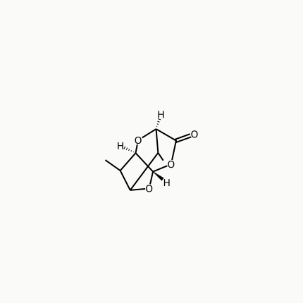 CC1C2O[C@H]3OC(=O)[C@H](O[C@H]13)C2C